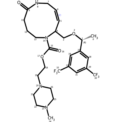 C[C@@H](OCC1/C=C\CNC(=O)CCCN1C(=O)OCCN1CCN(C)CC1)c1cc(C(F)(F)F)cc(C(F)(F)F)c1